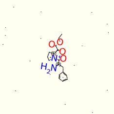 CCOC(=O)C(=O)[C@@H]1CCC[N+]1C(=O)[C@H](N)Cc1ccccc1